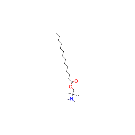 [CH2]C([CH2])(COC(=O)CCCCCCCCCCCCC)N(C)C